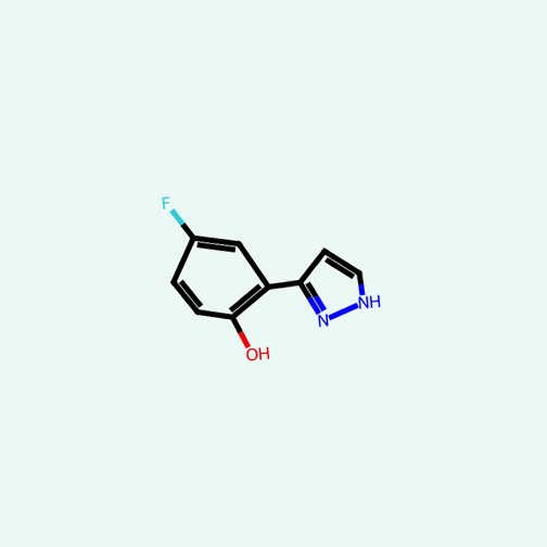 Oc1ccc(F)cc1-c1cc[nH]n1